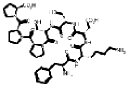 NCCCC[C@H](NC(=O)[C@@H](N)Cc1ccccc1)C(=O)N[C@@H](CC(=O)O)C(=O)N[C@@H](CO)C(=O)N[C@@H](CO)C(=O)N1CCC[C@H]1C(=O)N1CCC[C@H]1C(=O)N1CCC[C@H]1C(=O)O